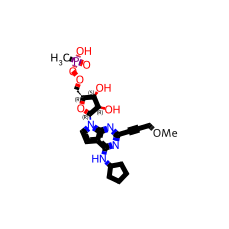 COCC#Cc1nc(NC2CCCC2)c2ccn([C@@H]3O[C@H](COOP(C)(=O)O)[C@@H](O)[C@H]3O)c2n1